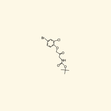 CC(C)(C)OC(=O)NCC(=O)COc1ccc(Br)cc1Cl